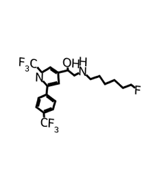 OC(CNCCCCCCF)c1cc(-c2ccc(C(F)(F)F)cc2)nc(C(F)(F)F)c1